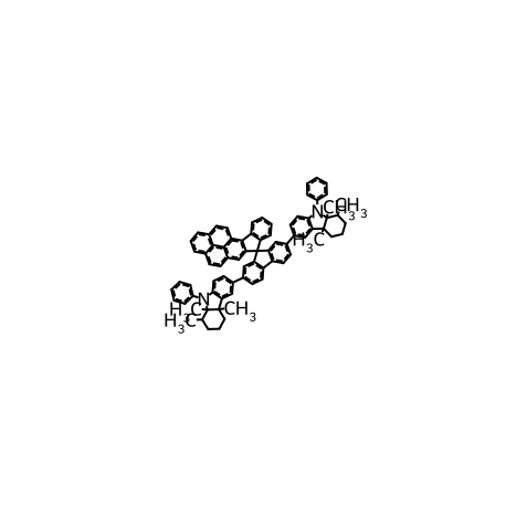 CC1CCCC2(C)c3cc(-c4ccc5c(c4)C4(c6cc(-c7ccc8c(c7)C7(C)CCCC(C)C7(C)N8c7ccccc7)ccc6-5)c5ccccc5-c5c4cc4ccc6cccc7ccc5c4c67)ccc3N(c3ccccc3)C12C